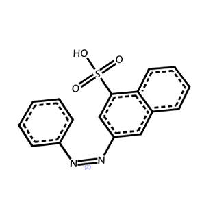 O=S(=O)(O)c1cc(/N=N\c2ccccc2)cc2ccccc12